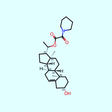 CC(OC(=O)C(=O)N1CCCCC1)[C@H]1CC[C@H]2[C@@H]3CC=C4C[C@@H](O)CC[C@]4(C)[C@H]3CC[C@]12C